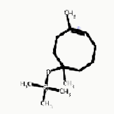 C/C1=C/CCCC(C)(O[Si](C)(C)C)CC1